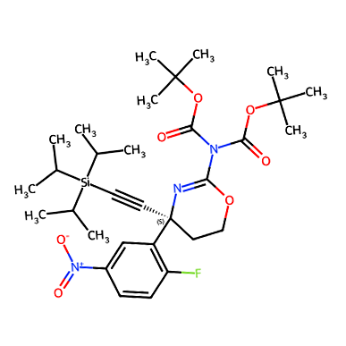 CC(C)[Si](C#C[C@@]1(c2cc([N+](=O)[O-])ccc2F)CCOC(N(C(=O)OC(C)(C)C)C(=O)OC(C)(C)C)=N1)(C(C)C)C(C)C